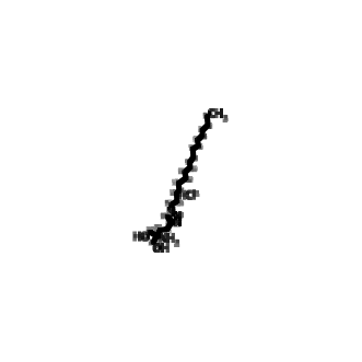 CCCCCCCCCCCCCCCCCCn1cc(CCC(N)(CO)CO)nn1.Cl